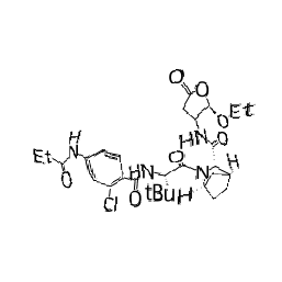 CCO[C@@H]1OC(=O)CC1NC(=O)[C@@H]1[C@H]2CC[C@H](C2)N1C(=O)[C@@H](NC(=O)c1ccc(NC(=O)CC)cc1Cl)C(C)(C)C